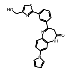 O=C1CC(c2cccc(-c3nc(CO)cs3)c2)=Nc2ccc(-n3cccc3)cc2N1